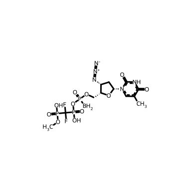 BP(=O)(OC[C@H]1O[C@@H](n2cc(C)c(=O)[nH]c2=O)C[C@H]1N=[N+]=[N-])OP(=O)(O)C(F)(F)P(=O)(O)OC